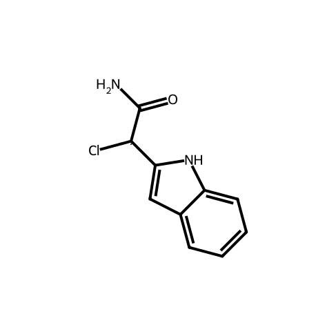 NC(=O)[C](Cl)c1cc2ccccc2[nH]1